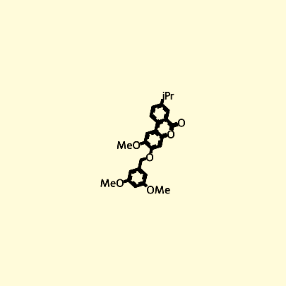 COc1cc(COc2cc3oc(=O)c4cc(C(C)C)ccc4c3cc2OC)cc(OC)c1